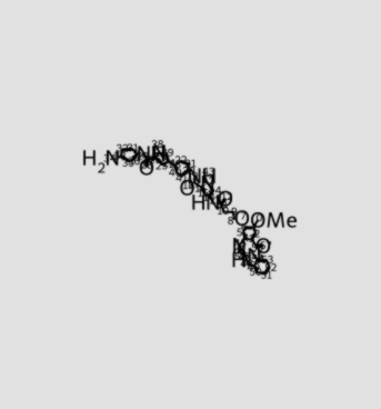 COc1cc2c(cc1OCCCC(=O)Nc1cc(C(=O)Nc3ccc(-c4cc(C(=O)Nc5ccc(N)cc5)n(C)c4)cc3)n(C)c1)N=C[C@@H]1Cc3ccccc3N1C2=O